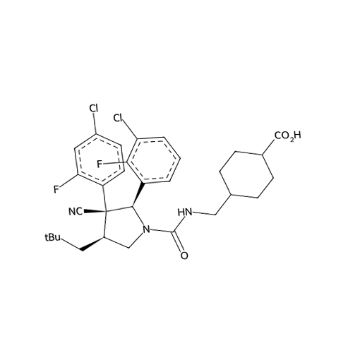 CC(C)(C)C[C@@H]1CN(C(=O)NCC2CCC(C(=O)O)CC2)[C@H](c2cccc(Cl)c2F)[C@@]1(C#N)c1ccc(Cl)cc1F